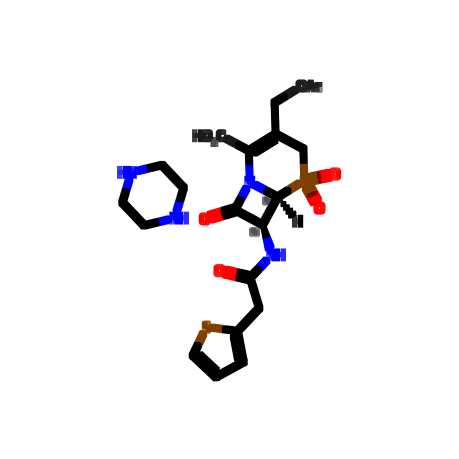 C1CNCCN1.CC(=O)OCC1=C(C(=O)O)N2C(=O)[C@H](NC(=O)Cc3cccs3)[C@@H]2S(=O)(=O)C1